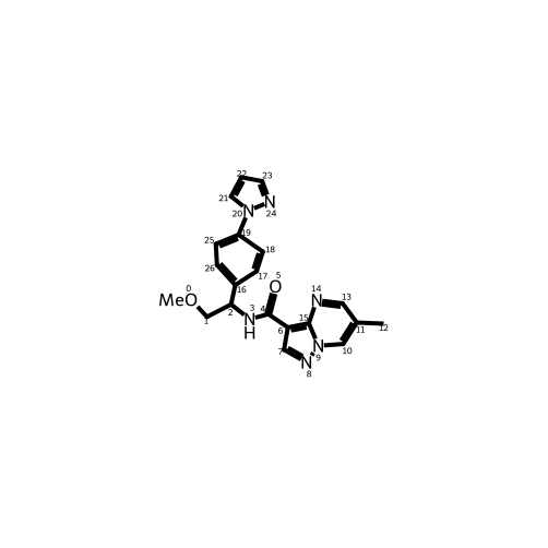 COCC(NC(=O)c1cnn2cc(C)cnc12)c1ccc(-n2cccn2)cc1